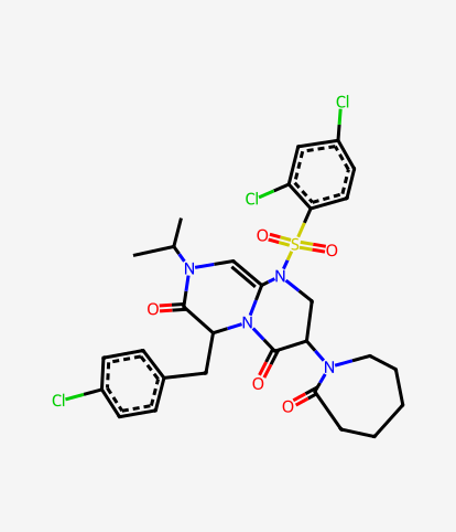 CC(C)N1C=C2N(C(=O)C(N3CCCCCC3=O)CN2S(=O)(=O)c2ccc(Cl)cc2Cl)C(Cc2ccc(Cl)cc2)C1=O